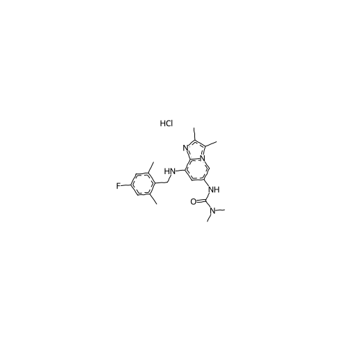 Cc1cc(F)cc(C)c1CNc1cc(NC(=O)N(C)C)cn2c(C)c(C)nc12.Cl